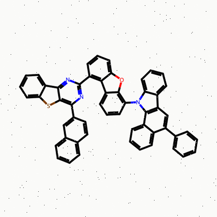 c1ccc(-c2cc3c4ccccc4n(-c4cccc5c4oc4cccc(-c6nc(-c7ccc8ccccc8c7)c7sc8ccccc8c7n6)c45)c3c3ccccc23)cc1